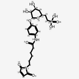 O=C(CCCCCN1C(=O)C=CC1=O)Nc1ccc(O[C@H]2O[C@H](CCP(=O)(O)O)C[C@H](O)[C@@H]2O)cc1